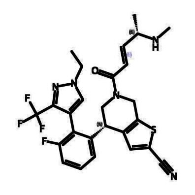 CCn1cc(-c2c(F)cccc2[C@@H]2CN(C(=O)/C=C/[C@H](C)NC)Cc3sc(C#N)cc32)c(C(F)(F)F)n1